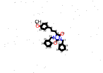 COc1ccc(CCCC2C(=O)N(Cc3ccccc3)C(=O)N2Cc2ccccc2)cc1